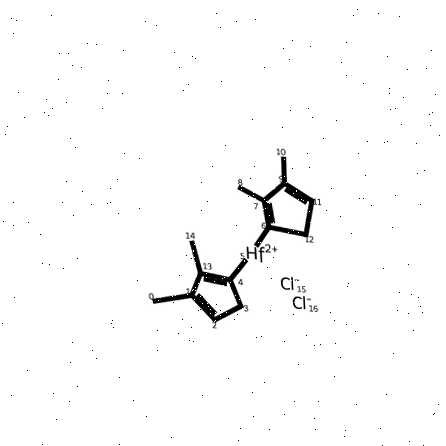 CC1=CC[C]([Hf+2][C]2=C(C)C(C)=CC2)=C1C.[Cl-].[Cl-]